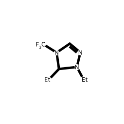 CCC1N(CC)N=CN1C(F)(F)F